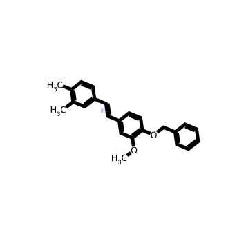 COc1cc(/C=C/c2ccc(C)c(C)c2)ccc1OCc1ccccc1